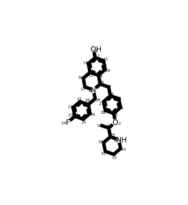 CC(Oc1ccc(CC2c3ccc(O)cc3CCN2Cc2ccc(F)cc2)cc1)C1CCCCN1